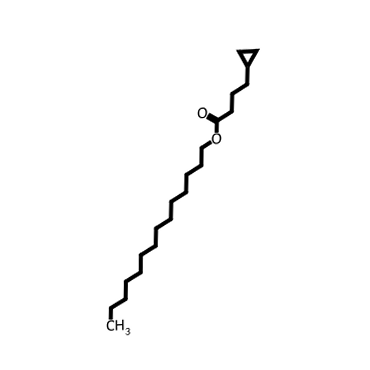 CCCCCCCCCCCCCCOC(=O)CCCC1CC1